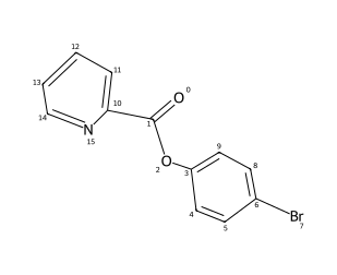 O=C(Oc1ccc(Br)cc1)c1ccccn1